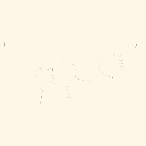 COc1ccc(CN2CCn3c(CCO)cc(C)c3C2=O)cc1